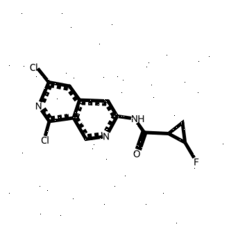 O=C(Nc1cc2cc(Cl)nc(Cl)c2cn1)C1CC1F